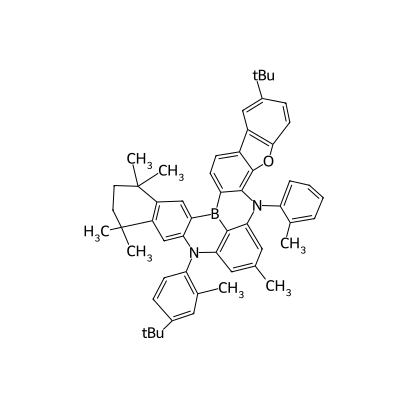 Cc1cc2c3c(c1)N(c1ccccc1C)c1c(ccc4c1oc1ccc(C(C)(C)C)cc14)B3c1cc3c(cc1N2c1ccc(C(C)(C)C)cc1C)C(C)(C)CCC3(C)C